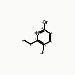 C[CH]c1nc(Br)ccc1F